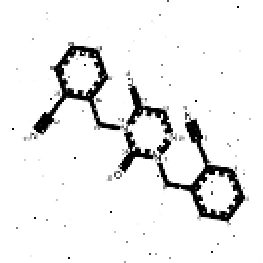 N#Cc1ccccc1Cn1ncc(=O)n(Cc2ccccc2C#N)c1=O